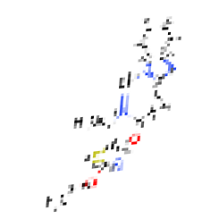 CCn1c(C2CC2C(=O)N[C@H](C)c2cnc(OCC(F)(F)F)s2)nc2ccccc21